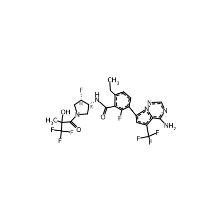 CCc1ccc(-c2cc(C(F)(F)F)c3c(N)ncnn23)c(F)c1C(=O)N[C@@H]1CN(C(=O)C(C)(O)C(F)(F)F)C[C@@H]1F